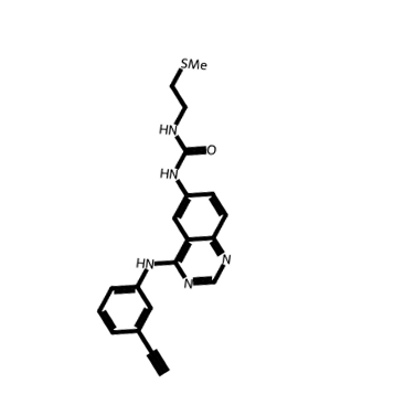 C#Cc1cccc(Nc2ncnc3ccc(NC(=O)NCCSC)cc23)c1